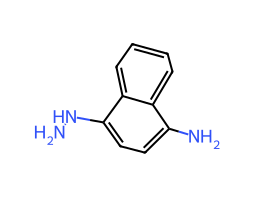 NNc1ccc(N)c2ccccc12